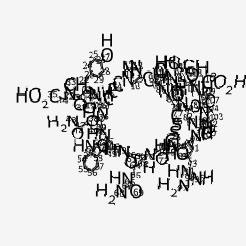 C[C@H](O)[C@H]1NC(=O)[C@@H]2Cc3cn(nn3)CCC[C@@H](C(=O)N[C@@H](Cc3ccc(O)cc3)C(=O)N(C)CC(=O)O)NC(=O)[C@H](CCC(N)=O)NC(=O)[C@@H](Cc3c[nH]c4ccccc34)NC(=O)[C@H](CCCNC(N)=O)NC(=O)[C@H](CSSCC(NC(=O)CN)C(=O)N2)NC(=O)[C@H](CCCNC(=N)N)NC(=O)[C@H]2CCCN2C(=O)[C@H](CC(=O)O)NC1=O